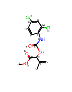 C=C(C)C(OC(=O)Nc1ccc(Cl)cc1Cl)C(=O)OC